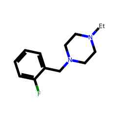 CCN1CCN(Cc2ccccc2F)CC1